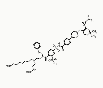 CCC(Cl)C1C[C@@H]1C1=C(CN2CCN(c3ccc(C(=O)NS(=O)(=O)c4ccc(NC(CCN(CCCCCCCC=O)CCNC=O)CSc5ccccc5)c(S(=O)(=O)C(F)(F)F)c4)cc3)CC2)CCC(C)(C)C1